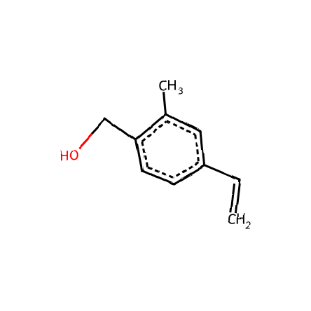 C=Cc1ccc(CO)c(C)c1